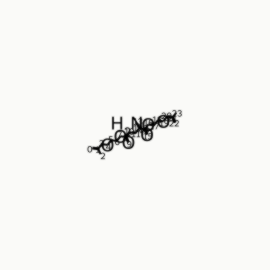 C=C(C)COCCOC(=O)CCC(N)C(=O)OCCOCC(=C)C